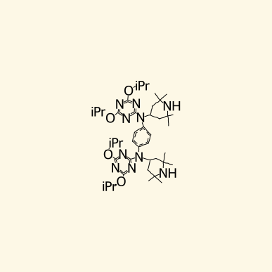 CC(C)Oc1nc(OC(C)C)nc(N(c2ccc(N(c3nc(OC(C)C)nc(OC(C)C)n3)C3CC(C)(C)NC(C)(C)C3)cc2)C2CC(C)(C)NC(C)(C)C2)n1